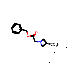 O=C(CN1CC(C(=O)O)C1)OCc1ccccc1